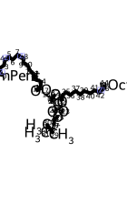 CCCCC/C=C\C/C=C\C/C=C\CCCCCCC(=O)OC[C@H](COP(=O)([O-])OCC[N+](C)(C)C)OC(=O)CCCCCCC/C=C\CCCCCCCC